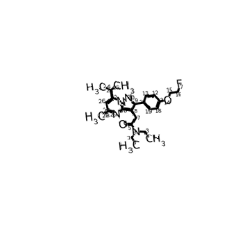 CCN(CC)C(=O)Cc1c(-c2ccc(OCCF)cc2)nn2c(C(C)C)cc(C)nc12